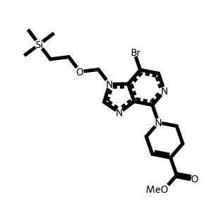 COC(=O)C1=CCN(c2ncc(Br)c3c2ncn3COCC[Si](C)(C)C)CC1